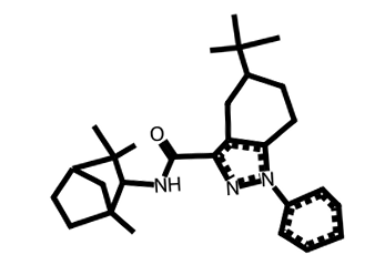 CC(C)(C)C1CCc2c(c(C(=O)NC3C4(C)CCC(C4)C3(C)C)nn2-c2ccccc2)C1